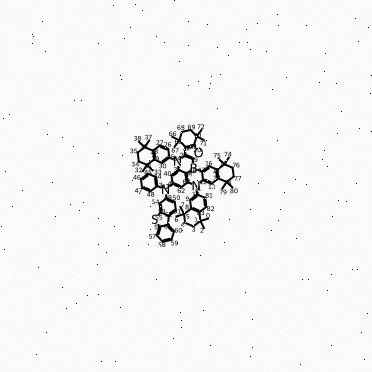 CC1(C)CCC(C)(C)c2cc(N3c4cc5c(cc4B4c6oc7c(c6N(c6ccc8c(c6)C(C)(C)CCC8(C)C)c6cc(N(c8ccccc8)c8ccc9c(c8)sc8ccccc89)cc3c64)C(C)(C)CCC7(C)C)C(C)(C)CCC5(C)C)ccc21